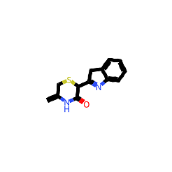 C=C1CSC(C2=Nc3ccccc3C2)C(=O)N1